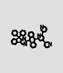 c1ccc(C2(c3ccccc3)c3ccccc3-c3cnc(-c4c5ccccc5c(-c5cc(-c6cccnc6)cc(-c6cccnc6)n5)c5ccccc45)nc32)cc1